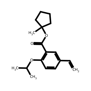 C=Cc1ccc(OC(C)C)c(C(=O)OC2(C)CCCC2)c1